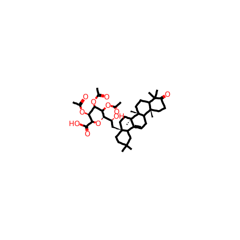 CC(=O)OC1C(OC(C)=O)[C@H]([C@H](O)C[C@]23CCC(C)(C)CC2C2=CCC4[C@@]5(C)CCC(=O)C(C)(C)C5CC[C@@]4(C)[C@]2(C)CC3)OC(C(=O)O)[C@H]1OC(C)=O